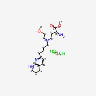 COCCN(CCCCc1ccc2c(n1)NCCC2)CCC(N)C(=O)OC.Cl.Cl.Cl